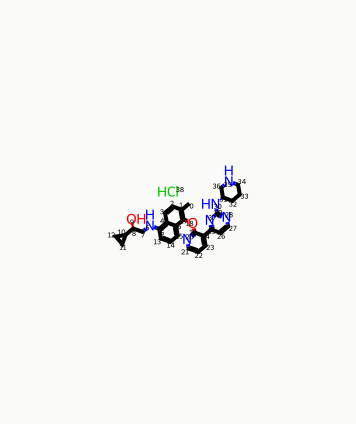 Cc1ccc2c(NC[C@H](O)C3CC3)cccc2c1Oc1ncccc1-c1ccnc(N[C@H]2CCCNC2)n1.Cl